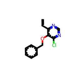 C=Cc1ncnc(Cl)c1OCc1ccccc1